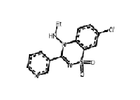 CCNN1C(c2cccnc2)=NS(=O)(=O)c2cc(Cl)ccc21